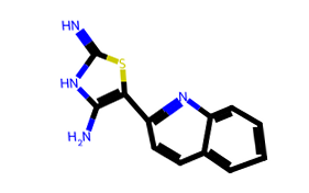 N=c1[nH]c(N)c(-c2ccc3ccccc3n2)s1